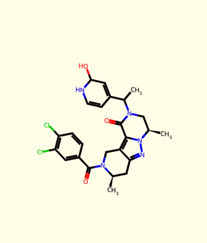 CC(C1=CC(O)NC=C1)N1C[C@@H](C)n2nc3c(c2C1=O)CN(C(=O)c1ccc(Cl)c(Cl)c1)[C@H](C)C3